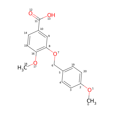 COc1ccc(COc2cc(C(=O)O)ccc2OC)cc1